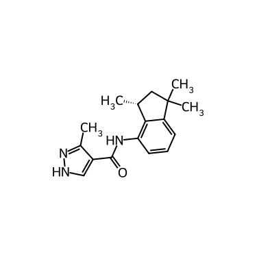 Cc1n[nH]cc1C(=O)Nc1cccc2c1[C@H](C)CC2(C)C